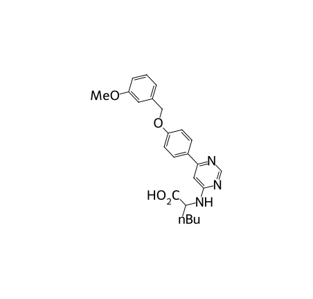 CCCCC(Nc1cc(-c2ccc(OCc3cccc(OC)c3)cc2)ncn1)C(=O)O